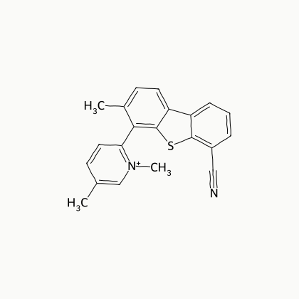 Cc1ccc(-c2c(C)ccc3c2sc2c(C#N)cccc23)[n+](C)c1